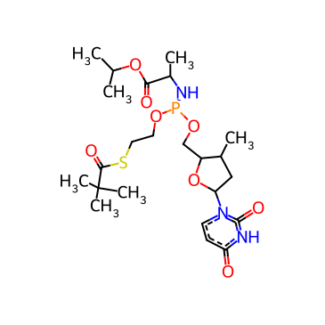 CC(C)OC(=O)C(C)N[P@](OCCSC(=O)C(C)(C)C)OCC1OC(n2ccc(=O)[nH]c2=O)CC1C